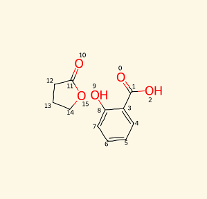 O=C(O)c1ccccc1O.O=C1CCCO1